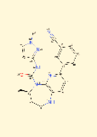 C[C@@H]1CCNc2ccc(-c3cccc(C#N)c3)nc2N1C(=O)Nc1ccn(C)n1